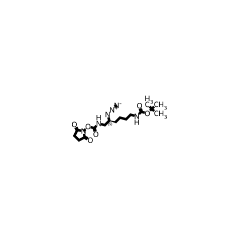 CC(C)(C)OC(=O)NCCCC[C@@H](CNC(=O)ON1C(=O)CCC1=O)N=[N+]=[N-]